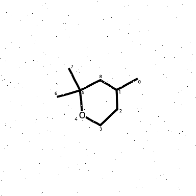 CC1CCOC(C)(C)C1